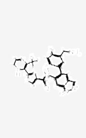 NCc1cc(-c2cc3cn[nH]c3cc2NC(=O)c2csc(C3=C(C(F)(F)F)N=CCN3)n2)ccc1F